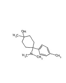 Cc1ccc(C2(N(C)C)CCC(C)(O)CC2)cc1